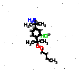 CCCCOOC(C)(C)c1ccc(C(C)(C)N)cc1.Cl